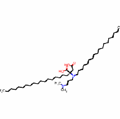 CCCCCCCCCCCCCCCCCCN(CCCN(C)C)[C@@](CCCCCCCCCCCCCCCCCC)(CC(=O)O)C(=O)O